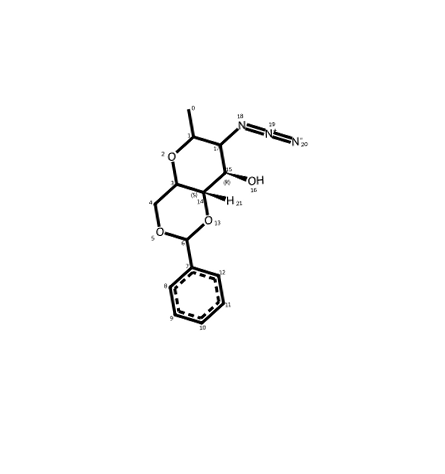 CC1OC2COC(c3ccccc3)O[C@H]2[C@H](O)C1N=[N+]=[N-]